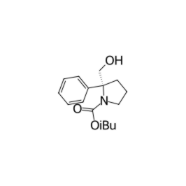 CC(C)COC(=O)N1CCC[C@]1(CO)c1ccccc1